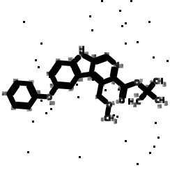 COCc1c(C(=O)OC(C)(C)C)ncc2[nH]c3ccc(Oc4ccccc4)cc3c12